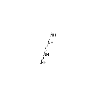 CNCCCNCCCCCNCCCNC